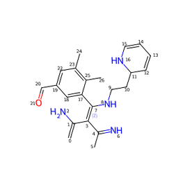 C=C(N)/C(C(C)=N)=C(/NCCC1C=CC=CN1)c1cc(C=O)cc(C)c1C